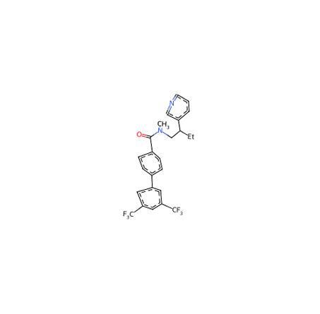 CCC(CN(C)C(=O)c1ccc(-c2cc(C(F)(F)F)cc(C(F)(F)F)c2)cc1)c1cccnc1